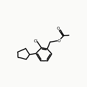 CC(=O)OCc1cccc(C2CCCC2)c1Cl